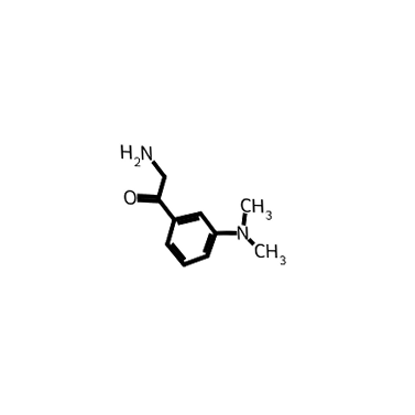 CN(C)c1cccc(C(=O)CN)c1